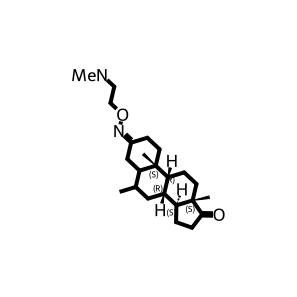 CNCCON=C1CC[C@@]2(C)C(C1)C(C)C[C@@H]1[C@H]2CC[C@]2(C)C(=O)CC[C@@H]12